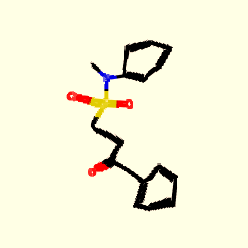 CN(c1ccccc1)S(=O)(=O)CCC(=O)c1ccccc1